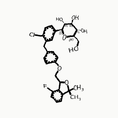 CC1(C)OC(COc2ccc(Cc3cc([C@@H]4O[C@H](CO)[C@@H](O)[C@H](O)[C@H]4O)ccc3Cl)cc2)c2c(F)cccc21